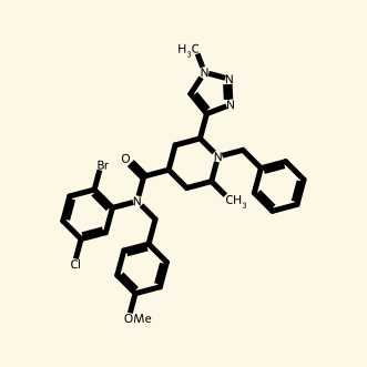 COc1ccc(CN(C(=O)C2CC(C)N(Cc3ccccc3)C(c3cn(C)nn3)C2)c2cc(Cl)ccc2Br)cc1